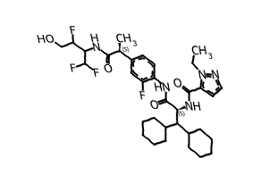 CCn1nccc1C(=O)N[C@H](C(=O)Nc1ccc([C@H](C)C(=O)NC(C(F)F)C(F)CO)cc1F)C(C1CCCCC1)C1CCCCC1